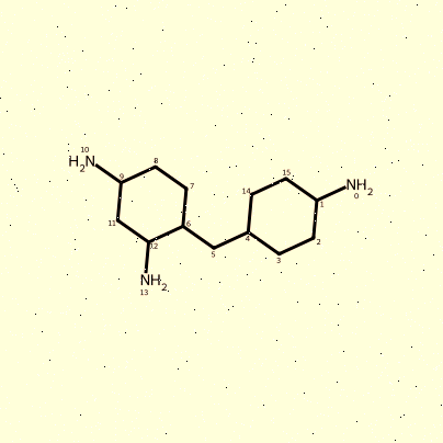 NC1CCC(CC2CCC(N)CC2N)CC1